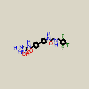 NC[C@H](NC(=O)c1ccc(-c2ccc(NC(=O)CNCc3cc(F)c(F)cc3F)cc2)cc1)C(=O)NO